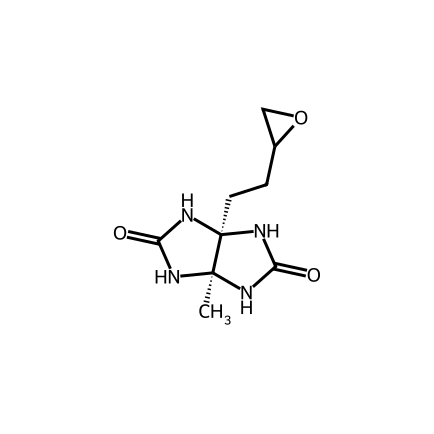 C[C@]12NC(=O)N[C@@]1(CCC1CO1)NC(=O)N2